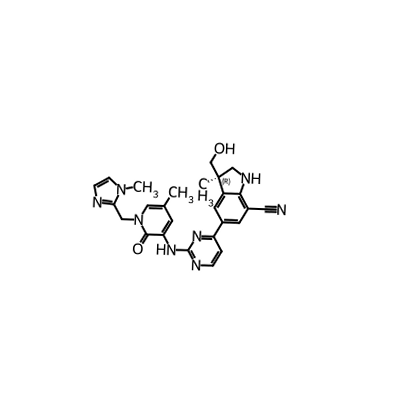 Cc1cc(Nc2nccc(-c3cc(C#N)c4c(c3)[C@@](C)(CO)CN4)n2)c(=O)n(Cc2nccn2C)c1